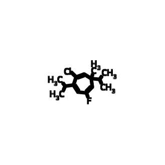 CC(C)C1=CC(F)=CC(C)(C(C)C)C=C1Cl